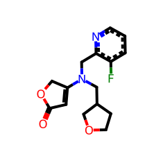 O=C1C=C(N(Cc2ncccc2F)CC2CCOC2)CO1